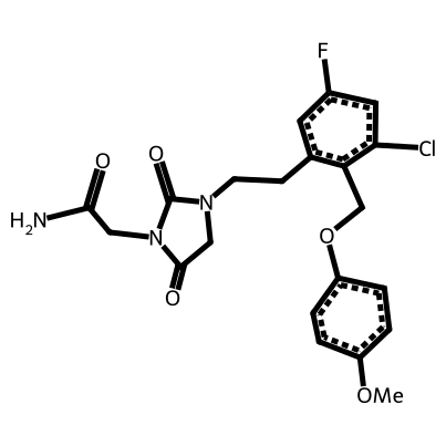 COc1ccc(OCc2c(Cl)cc(F)cc2CCN2CC(=O)N(CC(N)=O)C2=O)cc1